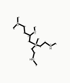 CNCC[N+](C)(CCNC)CC(CCN(C)C)OC